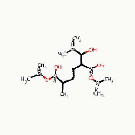 CC(CCC(C(O)[SiH](C)C)[SiH](O)O[SiH](C)C)[SiH](O)O[SiH](C)C